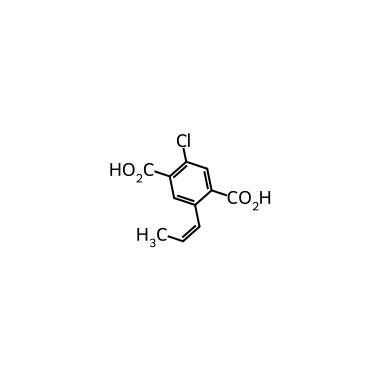 C/C=C\c1cc(C(=O)O)c(Cl)cc1C(=O)O